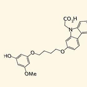 COc1cc(O)cc(OCCCCOc2ccc3c4ccccc4n(CC(=O)O)c3c2)c1